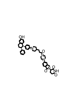 O=C1CCC(N2Cc3cc(N4CCN(C(=O)CCC5CCN(c6ccc([C@@H]7c8ccc(O)cc8CC[C@@H]7c7ccccc7)cc6)CC5)CC4)ccc3C2=O)C(=O)N1